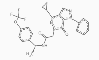 C[C@H](NC(=O)Cn1nc(C2CC2)c2cnn(-c3ccccc3)c2c1=O)c1ccc(OC(F)(F)F)cc1